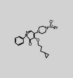 CC(C)[S+]([O-])N1CCN(c2cnn(-c3ccccc3)c(=O)c2OCCCC2CC2)CC1